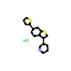 Cl.c1cncc(-c2csc3cc(-c4cccs4)ccc23)c1